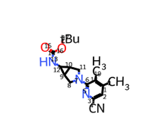 Cc1cc(C#N)nc(N2CC3C(C2)C3NC(=O)OC(C)(C)C)c1C